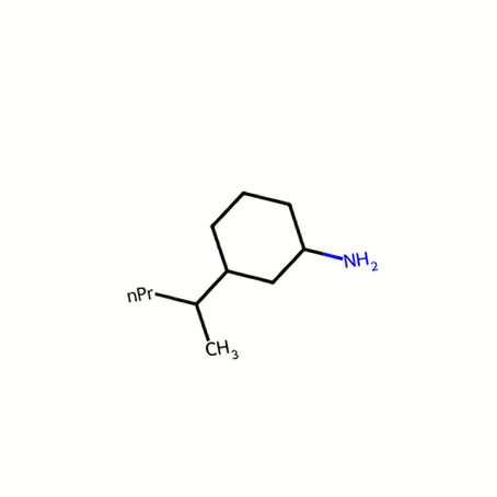 CCCC(C)C1CCCC(N)C1